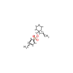 C=CCC1(COS(=O)(=O)c2ccc(C)cc2)CCCCC1